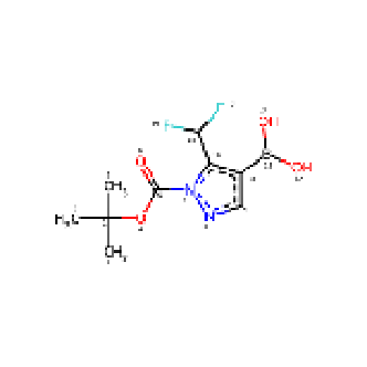 CC(C)(C)OC(=O)n1ncc(B(O)O)c1C(F)F